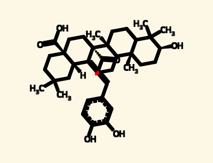 CC1(C)CC[C@]2(C(=O)O)CC[C@]3(C(=O)/C=C/c4ccc(O)c(O)c4)C(=CCC4[C@@]5(C)CC[C@H](O)C(C)(C)C5CC[C@]43C)[C@@H]2C1